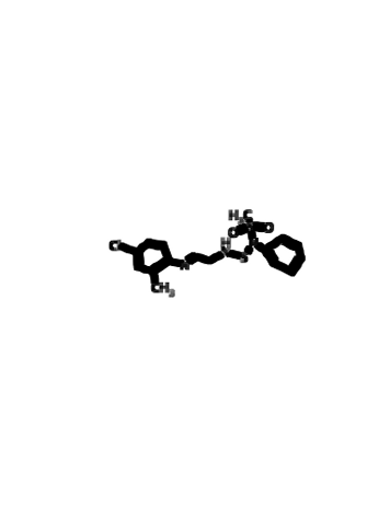 Cc1cc(Cl)ccc1N=CCNSN(c1ccccc1)S(C)(=O)=O